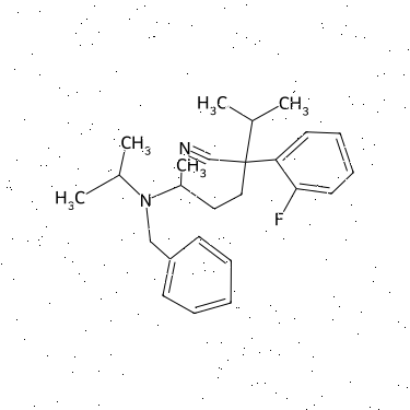 CC(C)N(Cc1ccccc1)C(C)CCC(C#N)(c1ccccc1F)C(C)C